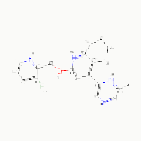 Cc1cncc(-c2cc(OCc3ncccc3F)nc3c2CCCC3)n1